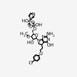 CO[C@H]1[C@@H](O)[C@H](N2CC(CCOc3ccc(Cl)cc3)c3c(O)nc(N)nc32)O[C@@H]1COP(=O)(O)OP(=O)(O)n1ccnc1